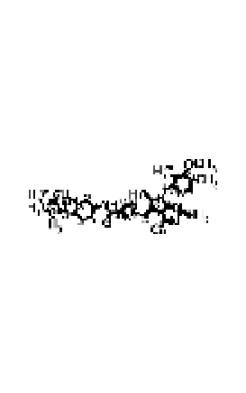 COc1c(C)cnc(CN2C(=O)C(=Cc3nc(C(=O)NC4CCC(O[Si](C)(C)C(C)(C)C)CC4)c[nH]3)c3c(Cl)nc(N)nc32)c1C